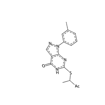 CC(=O)C(C)Sc1nc2c(cnn2-c2cccc(C)c2)c(=O)[nH]1